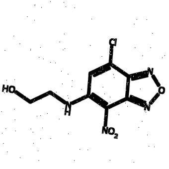 O=[N+]([O-])c1c(NCCO)cc(Cl)c2nonc12